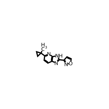 CC1(c2ccc3nc(-c4ccon4)[nH]c3n2)CC1